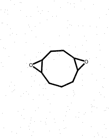 C1CC2OC2CCC2OC2C1